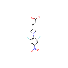 O=C(O)/C=C/C1CN(c2c(F)cc([N+](=O)[O-])cc2F)C1